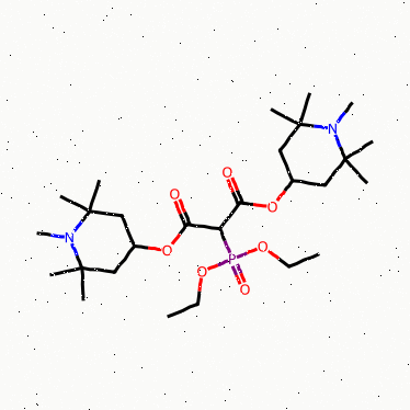 CCOP(=O)(OCC)C(C(=O)OC1CC(C)(C)N(C)C(C)(C)C1)C(=O)OC1CC(C)(C)N(C)C(C)(C)C1